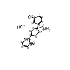 Cl.NC[C@]1(c2cccc(Cl)c2)CC[C@H](n2ncccc2=O)CC1